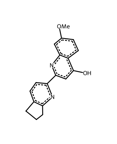 COc1ccc2c(O)cc(-c3ccc4c(n3)CCC4)nc2c1